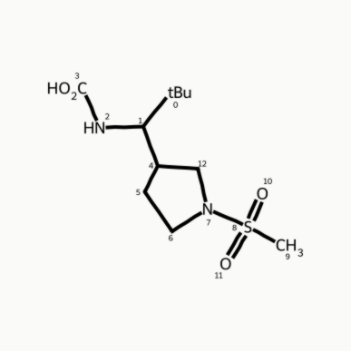 CC(C)(C)C(NC(=O)O)C1CCN(S(C)(=O)=O)C1